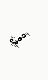 Cc1cc(-c2ccc(N3CCC(C)CC3)cc2)sc1C(=O)N1CC[C@H](N)C1